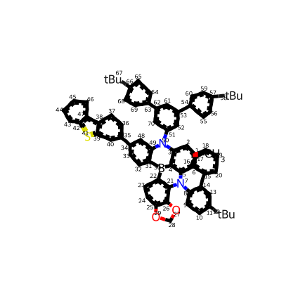 Cc1cc2c3c(c1)N(c1ccc(C(C)(C)C)cc1-c1ccccc1)c1c(ccc4c1OCO4)B3c1ccc(-c3ccc4c(c3)sc3ccccc34)cc1N2c1cc(-c2ccc(C(C)(C)C)cc2)cc(-c2ccc(C(C)(C)C)cc2)c1